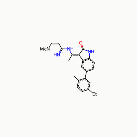 CCc1ccc(C)c(-c2ccc3c(c2)/C(=C(\C)NC(=N)/C=C\NC)C(=O)N3)c1